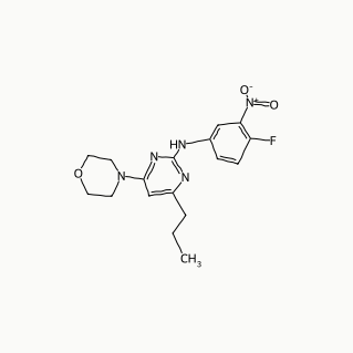 CCCc1cc(N2CCOCC2)nc(Nc2ccc(F)c([N+](=O)[O-])c2)n1